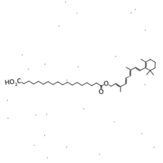 CC(C=CC1=C(C)CCCC1(C)C)=CC=CC(C)=CCOC(=O)CCCCCCCCCCCCCCCCC(=O)O